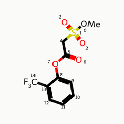 COS(=O)(=O)CC(=O)Oc1ccccc1C(F)(F)F